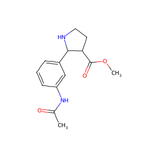 COC(=O)C1CCNC1c1cccc(NC(C)=O)c1